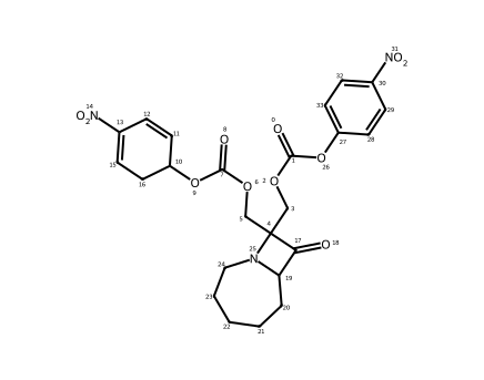 O=C(OCC1(COC(=O)OC2C=CC([N+](=O)[O-])=CC2)C(=O)C2CCCCCN21)Oc1ccc([N+](=O)[O-])cc1